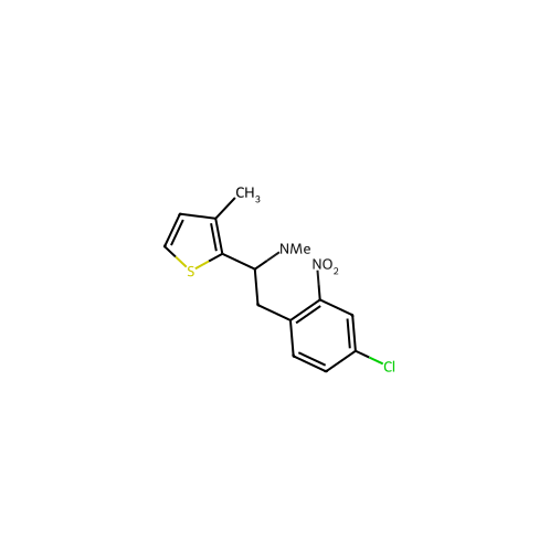 CNC(Cc1ccc(Cl)cc1[N+](=O)[O-])c1sccc1C